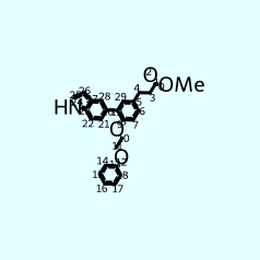 COC(=O)CCc1ccc(OCCOc2ccccc2)c(-c2ccc3[nH]ccc3c2)c1